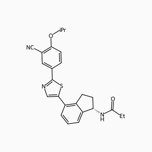 CCC(=O)N[C@H]1CCc2c(-c3cnc(-c4ccc(OC(C)C)c(C#N)c4)s3)cccc21